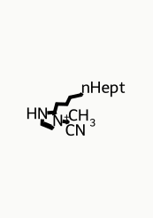 CCCCCCCCCCCc1[nH]cc[n+]1C(C)C#N